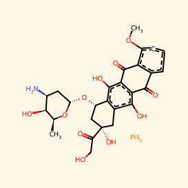 COc1cccc2c1C(=O)c1c(O)c3c(c(O)c1C2=O)C[C@@](O)(C(=O)CO)C[C@@H]3O[C@H]1C[C@H](N)[C@H](O)[C@H](C)O1.P